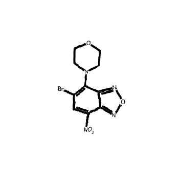 O=[N+]([O-])c1cc(Br)c(N2CCOCC2)c2nonc12